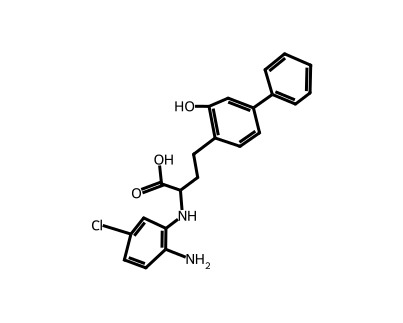 Nc1ccc(Cl)cc1NC(CCc1ccc(-c2ccccc2)cc1O)C(=O)O